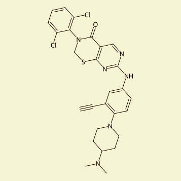 C#Cc1cc(Nc2ncc3c(n2)SCN(c2c(Cl)cccc2Cl)C3=O)ccc1N1CCC(N(C)C)CC1